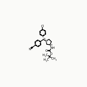 CC(C)(C)OC(=O)N[C@@H]1CCN([C@@H](c2ccc(Cl)cc2)c2ccc(C#N)cc2)C1